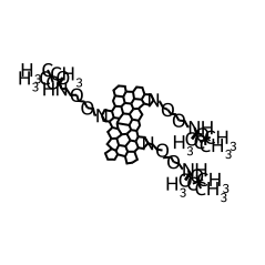 CC(C)(C)OC(=O)NCCOCCOCCN1CC2CCC3C4CCCC5CC6C7CN(CCOCCOCCNC(=O)OC(C)(C)C)CC8C9CC%10CC%11CCCC%12C%13CCCC%14C%15CN(CCOCCOCCNC(=O)OC(C)(C)C)CC%16C%17CC%18CC%19C(C1)C2C3C1C%19C2C%18C3C%17C%17C(C%10C(C%11%12)C(C%13%14)C%17C%15%16)C9C3C(C78)C2C6C1C54